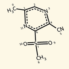 Cc1cnc(C#N)c(S(C)(=O)=O)n1